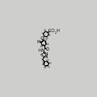 O=C(Nc1nnc(Cc2ccccc2)s1)c1ccc(OC2CCC(C(=O)O)CC2)c(F)c1